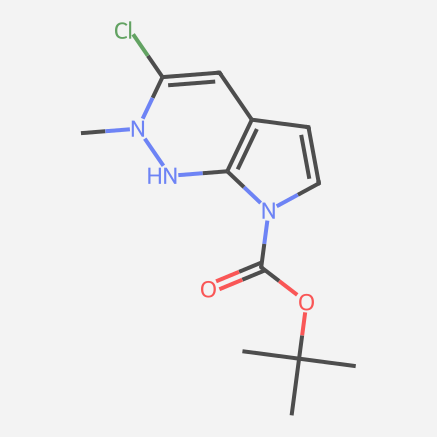 CN1Nc2c(ccn2C(=O)OC(C)(C)C)C=C1Cl